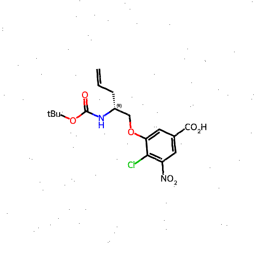 C=CC[C@H](COc1cc(C(=O)O)cc([N+](=O)[O-])c1Cl)NC(=O)OC(C)(C)C